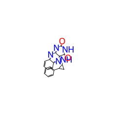 O=C1N=C2N=c3ccccc3=NC2(NC2CC2c2ccccc2)C(=O)N1